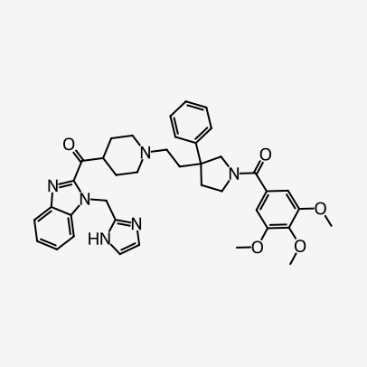 COc1cc(C(=O)N2CCC(CCN3CCC(C(=O)c4nc5ccccc5n4Cc4ncc[nH]4)CC3)(c3ccccc3)C2)cc(OC)c1OC